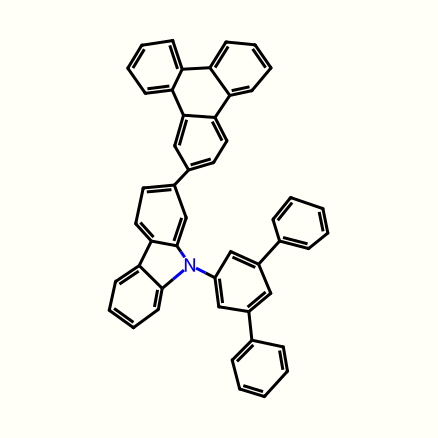 c1ccc(-c2cc(-c3ccccc3)cc(-n3c4ccccc4c4ccc(-c5ccc6c7ccccc7c7ccccc7c6c5)cc43)c2)cc1